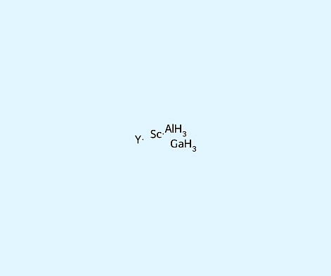 [AlH3].[GaH3].[Sc].[Y]